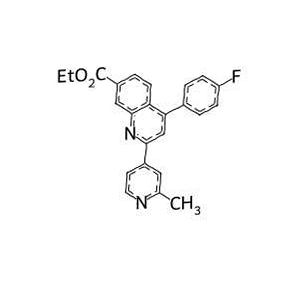 CCOC(=O)c1ccc2c(-c3ccc(F)cc3)cc(-c3ccnc(C)c3)nc2c1